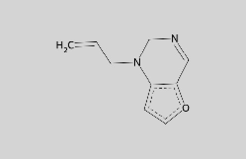 C=CCN1CN=Cc2occc21